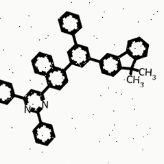 CC1(C)c2ccccc2-c2cc(-c3cc(-c4ccccc4)cc(-c4ccc(-c5cc(-c6ccccc6)nc(-c6ccccc6)n5)c5ccccc45)c3)ccc21